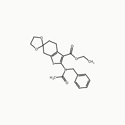 CCOC(=O)c1c(N(Cc2ccccc2)C(C)=O)sc2c1CCC1(C2)OCCO1